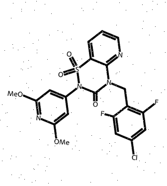 COc1cc(N2C(=O)N(Cc3c(F)cc(Cl)cc3F)c3ncccc3S2(=O)=O)cc(OC)n1